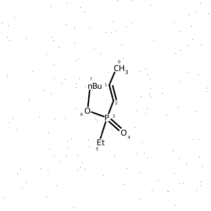 CC=CP(=O)(CC)OCCCC